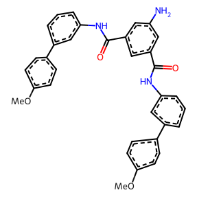 COc1ccc(-c2cccc(NC(=O)c3cc(N)cc(C(=O)Nc4cccc(-c5ccc(OC)cc5)c4)c3)c2)cc1